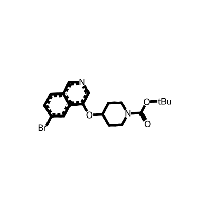 CC(C)(C)OC(=O)N1CCC(Oc2cncc3ccc(Br)cc23)CC1